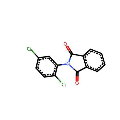 O=C1c2ccccc2C(=O)N1c1cc(Cl)ccc1Cl